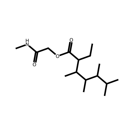 CCC(C(=O)OCC(=O)NC)C(C)C(C)C(C)C(C)C